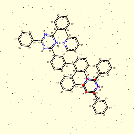 Cc1ccc(-c2cccc(-c3cccc(-c4nc(-c5ccccc5)nc(-c5ccccc5-c5ccccn5)n4)c3)c2-c2ccccc2-c2cc(-c3ccccc3)nc(-c3ccccc3)n2)c(C)n1